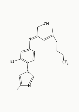 CCc1cc(/N=C(\C=C(/C)CCCC(F)(F)F)CC#N)ccc1-n1cnc(C)c1